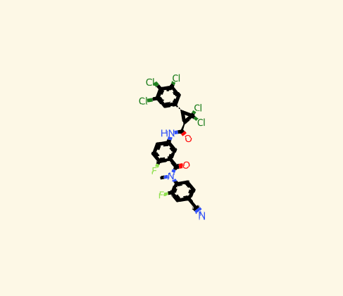 CN(C(=O)c1cc(NC(=O)[C@H]2[C@H](c3cc(Cl)c(Cl)c(Cl)c3)C2(Cl)Cl)ccc1F)c1ccc(C#N)cc1F